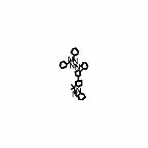 CC1(C)c2cc(-c3ccc4c(c3)c3ccccc3n4-c3nc(-c4ccccc4)nc(-c4ccccc4)n3)ccc2-n2c1nc1ccccc12